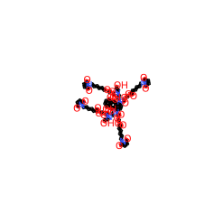 O=C(CCCCCN1C(=O)C=CC1=O)OCOC(=O)N(CCO)CCN(C(=O)OCOC(=O)CCCCCN1C(=O)C=CC1=O)c1ccc(N(CCN(CCO)C(=O)OCOCCCCCCN2C(=O)C=CC2=O)C(=O)OCOC(=O)CCCCCN2C(=O)C=CC2=O)c2c1C(=O)c1c(O)ccc(O)c1C2=O